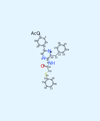 CC(=O)Oc1ccc(-c2cnc(NC(=O)CSc3ccccc3)c(Cc3ccccc3)n2)cc1